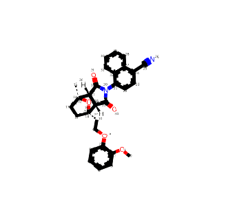 COc1ccccc1OCC[C@]12CC[C@](C)(O1)[C@@H]1C(=O)N(c3ccc(C#N)c4ccccc34)C(=O)[C@@H]12